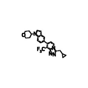 FC(F)(F)c1c(-c2ccc3c(ccn3C3CCOCC3)c2)ccn2c(CC3CC3)nnc12